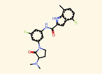 Cc1ccc(F)c2cc(C(=O)Nc3cc(F)cc(N4CCC(N(C)C)C4=O)c3)[nH]c12